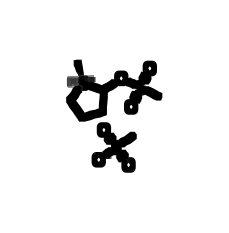 CS(=O)(=O)[O-].C[S@+]1CCCC1OS(C)(=O)=O